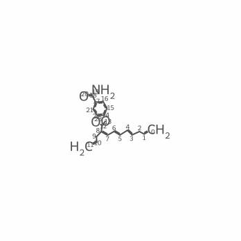 C=CC/C=C/C=C/C=C(/CC=C)C1Oc2ccc(C(N)=O)cc2O1